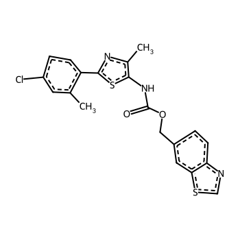 Cc1cc(Cl)ccc1-c1nc(C)c(NC(=O)OCc2ccc3ncsc3c2)s1